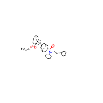 COC(=O)C12CCCC3CC1CC(C14CC5CC(C(=O)N(CCc6ccccc6)C6CCCCC6)CC(C1)C(C5)C4)(C3)C2